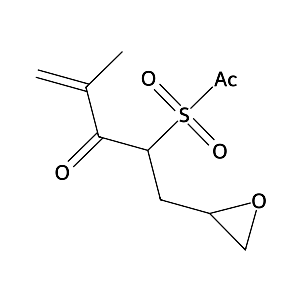 C=C(C)C(=O)C(CC1CO1)S(=O)(=O)C(C)=O